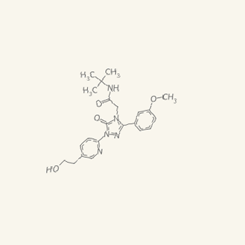 COc1cccc(-c2nn(-c3ccc(CCO)cn3)c(=O)n2CC(=O)NC(C)(C)C)c1